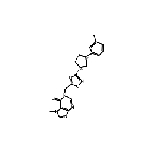 Cc1cccc([C@H]2C[C@H](c3noc(Cn4cnc5ncn(C)c5c4=O)n3)CO2)c1